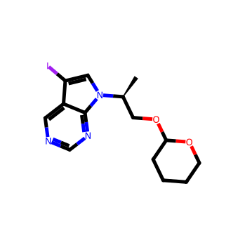 C[C@@H](COC1CCCCO1)n1cc(I)c2cncnc21